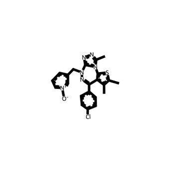 Cc1sc2c(c1C)C(c1ccc(Cl)cc1)=NN(Cc1ccc[n+]([O-])c1)c1nnc(C)n1-2